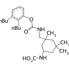 CCCCc1cccc(OC(=O)NCC2(C)CC(NC(=O)O)CC(C)(C)C2)c1CCCC